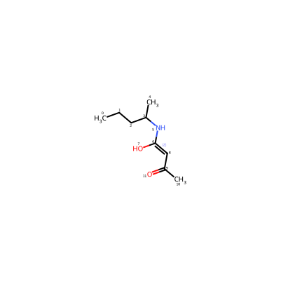 CCCC(C)N/C(O)=C/C(C)=O